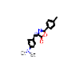 CCN(CC)c1ccc(/C=C2/N=C(c3ccc(C)cc3)OC2=O)cc1